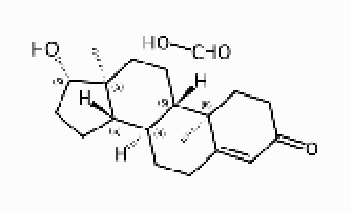 C[C@]12CC[C@H]3[C@@H](CCC4=CC(=O)CC[C@@]43C)[C@@H]1CC[C@@H]2O.O=CO